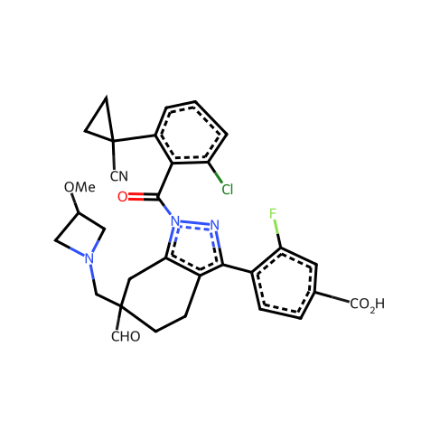 COC1CN(CC2(C=O)CCc3c(-c4ccc(C(=O)O)cc4F)nn(C(=O)c4c(Cl)cccc4C4(C#N)CC4)c3C2)C1